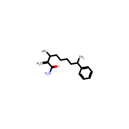 C=C(C(N)=O)C(CCC)CCCCC(C)c1ccccc1